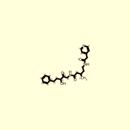 CC(CCNC(=O)Cc1ccncc1)CC(=O)NCC(=O)C(O)CCc1ccccc1